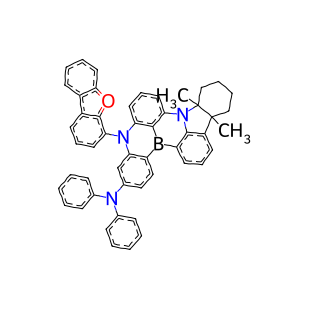 CC12CCCCC1(C)N1c3cccc4c3B(c3ccc(N(c5ccccc5)c5ccccc5)cc3N4c3cccc4c3oc3ccccc34)c3cccc2c31